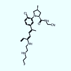 C=C/C(=C\C=C(/C)c1ccc(Cl)c(N2C[C@@H](C)C[C@H]2C(=O)NCC#N)c1)NCCNCCF